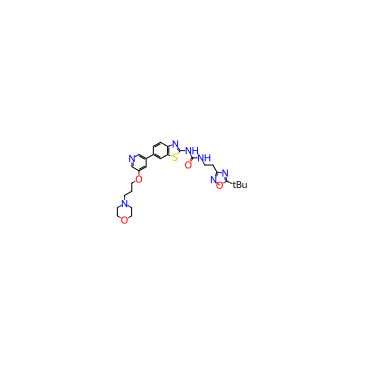 CC(C)(C)c1nc(CCNC(=O)Nc2nc3ccc(-c4cncc(OCCCN5CCOCC5)c4)cc3s2)no1